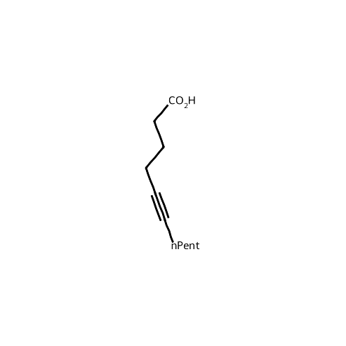 CCCCCC#CCCCC(=O)O